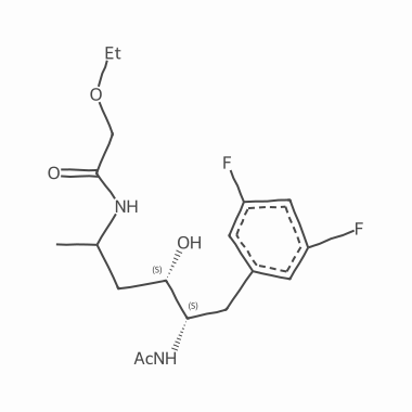 CCOCC(=O)NC(C)C[C@H](O)[C@H](Cc1cc(F)cc(F)c1)NC(C)=O